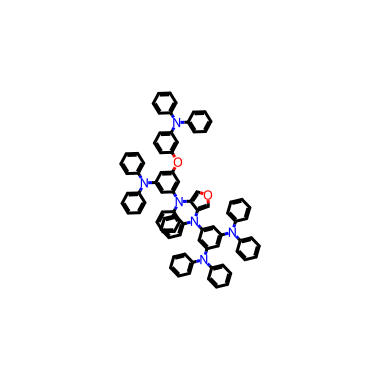 c1ccc(N(c2ccccc2)c2cccc(Oc3cc(N(c4ccccc4)c4ccccc4)cc(N(c4ccccc4)c4cocc4N(c4ccccc4)c4cc(N(c5ccccc5)c5ccccc5)cc(N(c5ccccc5)c5ccccc5)c4)c3)c2)cc1